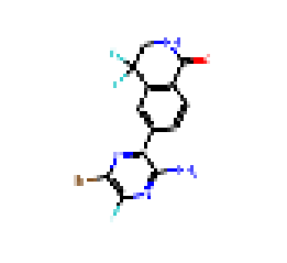 Nc1nc(F)c(Br)nc1-c1ccc2c(c1)C(F)(F)CNC2=O